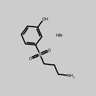 Br.NCCCS(=O)(=O)c1cccc(O)c1